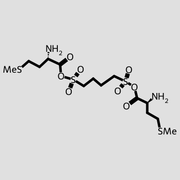 CSCC[C@H](N)C(=O)OS(=O)(=O)CCCCS(=O)(=O)OC(=O)[C@@H](N)CCSC